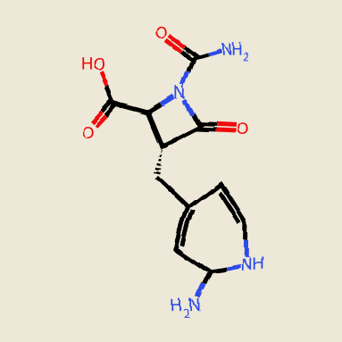 NC(=O)N1C(=O)[C@H](CC2=CC(N)NC=C2)C1C(=O)O